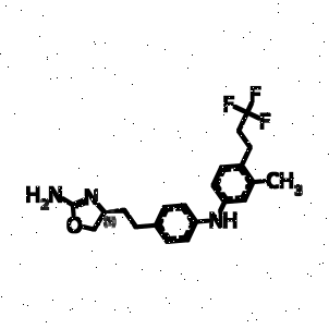 Cc1cc(Nc2ccc(CC[C@H]3COC(N)=N3)cc2)ccc1CCC(F)(F)F